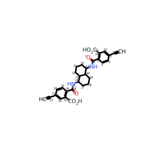 C#Cc1ccc(C(=O)NC2CCCC3C(NC(=O)c4ccc(C#C)cc4C(=O)O)CCCC23)c(C(=O)O)c1